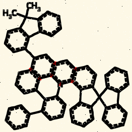 CC1(C)c2ccccc2-c2c(-c3ccc(N(c4cccc(-c5ccccc5)c4-c4ccccc4-c4ccccc4)c4cccc5c4-c4ccccc4C54c5ccccc5-c5ccccc54)cc3)cccc21